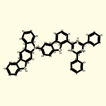 c1ccc(-c2nc(-c3ccccc3)nc(-c3cccc4c3oc3ccc(-n5c6ccccc6c6cc7c(cc65)sc5ccccc57)cc34)n2)cc1